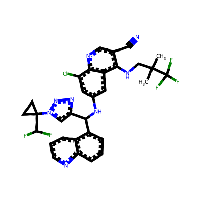 CC(C)(CNc1c(C#N)cnc2c(Cl)cc(NC(c3cn(C4(C(F)F)CC4)nn3)c3cccc4ncccc34)cc12)C(F)(F)F